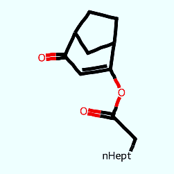 CCCCCCCCC(=O)OC1=CC(=O)C2CCC1C2